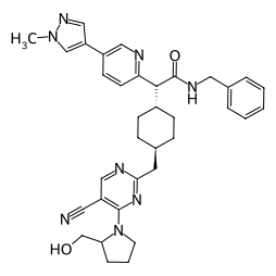 Cn1cc(-c2ccc(C(C(=O)NCc3ccccc3)[C@H]3CC[C@H](Cc4ncc(C#N)c(N5CCCC5CO)n4)CC3)nc2)cn1